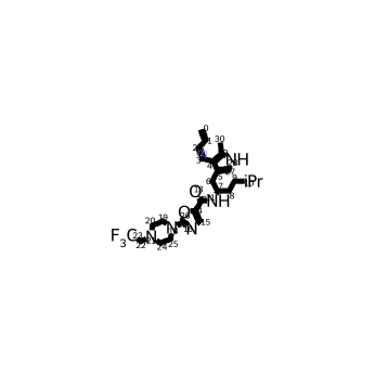 C=C/C=C\c1c(CC(CCC(C)C)NC(=O)c2cnc(N3CCN(CC(F)(F)F)CC3)o2)c[nH]c1C